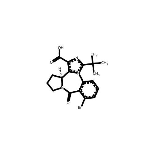 CC(C)(C)c1nc(C(=O)O)c2n1-c1cccc(Br)c1C(=O)N1CCC[C@@H]21